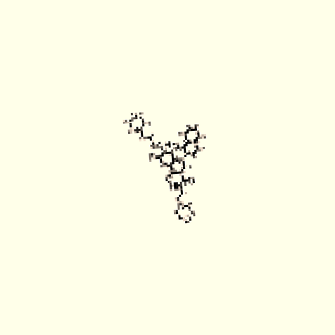 O=C(NCCN1CCOCC1)c1cn2c3c(c(NCCCN4CCOCC4)c(F)cc3c1=O)Oc1c-2ccc2ccccc12